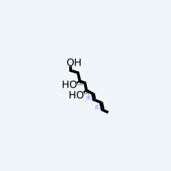 C/C=C/C=C/[C@@H](O)C[C@@H](O)CCO